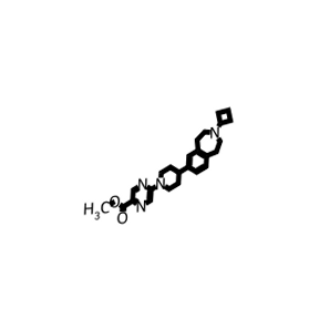 COC(=O)c1cnc(N2CCC(c3ccc4c(c3)CCN(C3CCC3)CC4)CC2)cn1